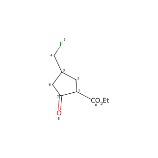 CCOC(=O)C1CC(CF)CC1=O